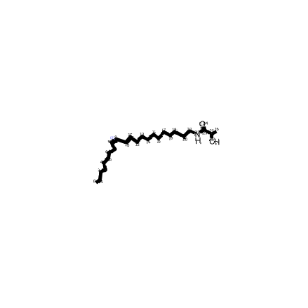 CCCCCCCC/C=C\CCCCCCCCCCCCNC(=O)C(C)O